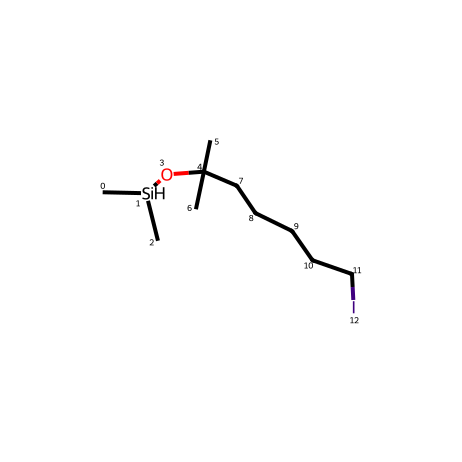 C[SiH](C)OC(C)(C)CCCCCI